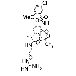 COc1ccc(Cl)cc1S(=O)(=O)Nc1ccc(C(C)C(=O)NCCONC(=N)N)n(OC(=O)C(F)(F)F)c1=O